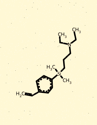 C=Cc1ccc([Si](C)(C)CCCN(CC)CC)cc1